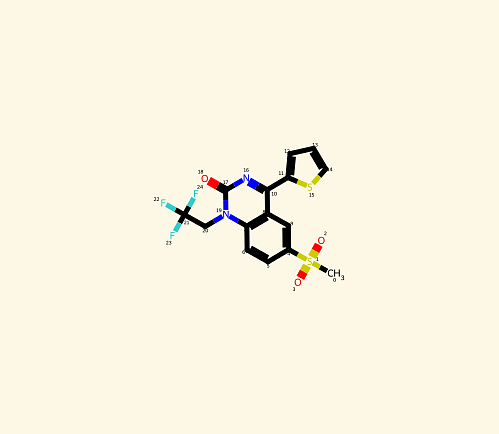 CS(=O)(=O)c1ccc2c(c1)c(-c1cccs1)nc(=O)n2CC(F)(F)F